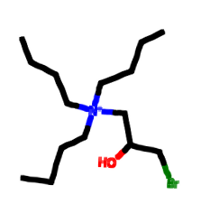 CCCC[N+](CCCC)(CCCC)CC(O)CBr